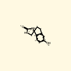 O=C1NCC2(CCc3cc(O)ccc32)N1